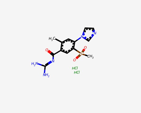 Cc1cc(-n2ccnc2)c(S(C)(=O)=O)cc1C(=O)N=C(N)N.Cl.Cl